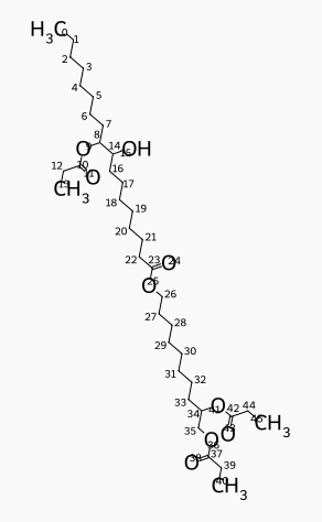 CCCCCCCCC(OC(=O)CC)C(O)CCCCCCCC(=O)OCCCCCCCCC(COC(=O)CC)OC(=O)CC